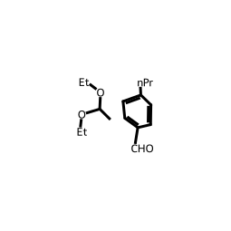 CCCc1ccc(C=O)cc1.CCOC(C)OCC